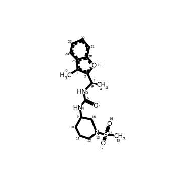 Cc1c([C@@H](C)NC(=O)NC2CCCN(S(C)(=O)=O)C2)oc2ccccc12